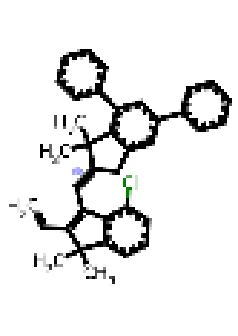 C=CC1=C(/C=C2\Cc3cc(-c4ccccc4)cc(-c4ccccc4)c3C2(C)C)c2c(Cl)cccc2C1(C)C